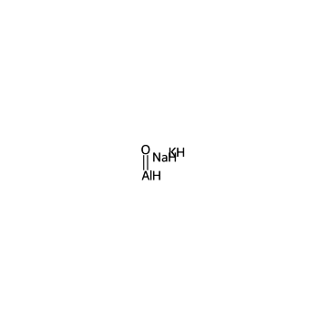 [KH].[NaH].[O]=[AlH]